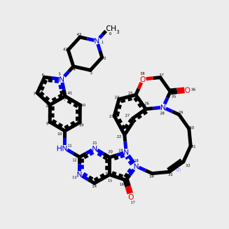 CN1CCC(n2ccc3cc(Nc4ncc5c(=O)n6n(c5n4)-c4ccc5c(c4)N(CCC/C=C\C6)C(=O)CO5)ccc32)CC1